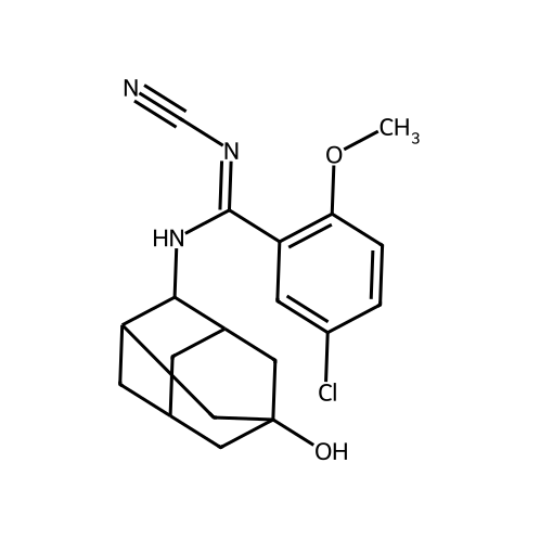 COc1ccc(Cl)cc1/C(=N/C#N)NC1C2CC3CC1CC(O)(C3)C2